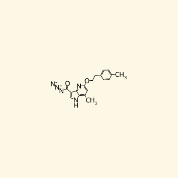 Cc1ccc(CCOc2cc(C)c3[nH]cc(C(=O)N=[N+]=[N-])c3n2)cc1